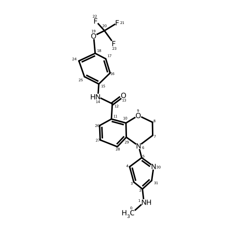 CNc1ccc(N2CCOc3c(C(=O)Nc4ccc(OC(F)(F)F)cc4)cccc32)nc1